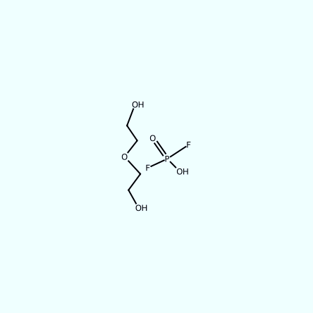 O=P(O)(F)F.OCCOCCO